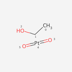 CCO.[O]=[Pt]=[O]